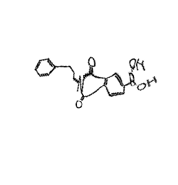 O=C1c2ccc(B(O)O)cc2C(=O)N1CCc1ccccc1